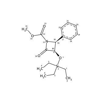 CC[Si](CC)(CC)O[C@H]1C(=O)N(C(=O)OC)[C@H]1c1ccccc1